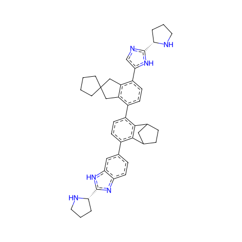 c1cc2nc([C@@H]3CCCN3)[nH]c2cc1-c1ccc(-c2ccc(-c3cnc([C@@H]4CCCN4)[nH]3)c3c2CC2(CCCC2)C3)c2c1C1CCC2C1